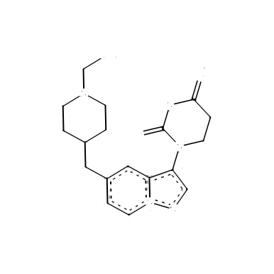 CC(C)(C)CN1CCC(Cc2ccn3ncc(N4CCC(=O)NC4=O)c3c2)CC1